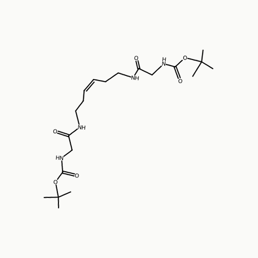 CC(C)(C)OC(=O)NCC(=O)NCC/C=C\CCNC(=O)CNC(=O)OC(C)(C)C